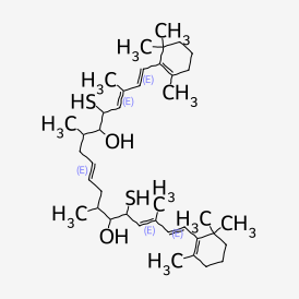 CC1=C(/C=C/C(C)=C/C(S)C(O)C(C)C/C=C/CC(C)C(O)C(S)/C=C(C)/C=C/C2=C(C)CCCC2(C)C)C(C)(C)CCC1